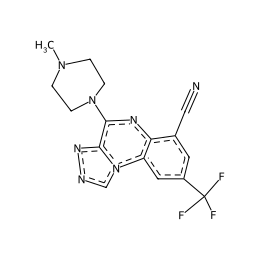 CN1CCN(c2nc3c(C#N)cc(C(F)(F)F)cc3n3cnnc23)CC1